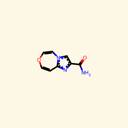 NC(=O)c1cn2c(n1)C=COC=C2